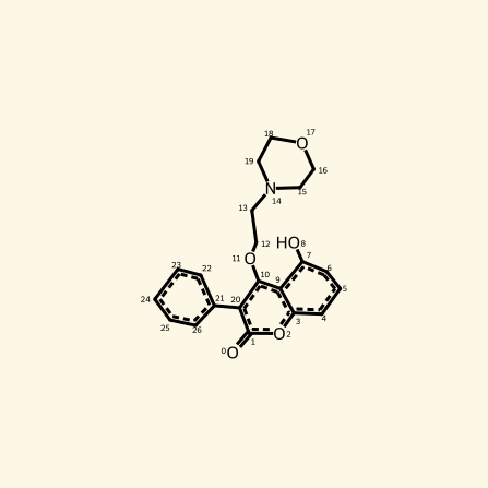 O=c1oc2cccc(O)c2c(OCCN2CCOCC2)c1-c1ccccc1